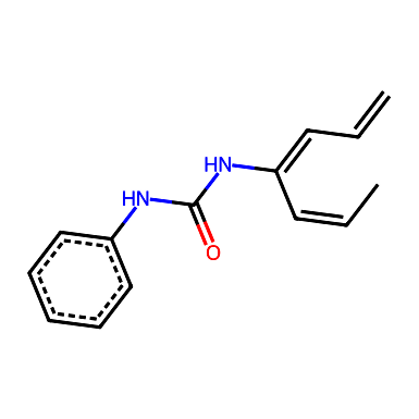 C=C/C=C(\C=C/C)NC(=O)Nc1ccccc1